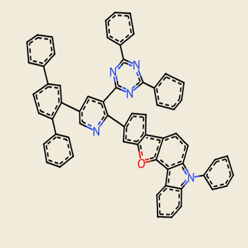 c1ccc(-c2ccc(-c3ccccc3)c(-c3cnc(-c4ccc5c(c4)oc4c5ccc5c4c4ccccc4n5-c4ccccc4)c(-c4nc(-c5ccccc5)nc(-c5ccccc5)n4)c3)c2)cc1